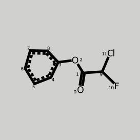 O=C(Oc1ccccc1)C(F)Cl